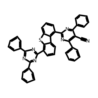 N#Cc1c(-c2ccccc2)nc(-c2cccc3sc4c(-c5nc(-c6ccccc6)nc(-c6ccccc6)n5)cccc4c23)nc1-c1ccccc1